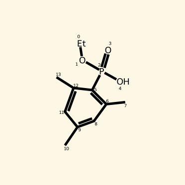 CCOP(=O)(O)c1c(C)cc(C)cc1C